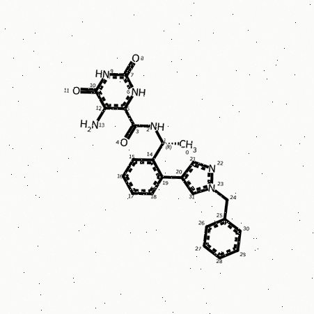 C[C@@H](NC(=O)c1[nH]c(=O)[nH]c(=O)c1N)c1ccccc1-c1cnn(Cc2ccccc2)c1